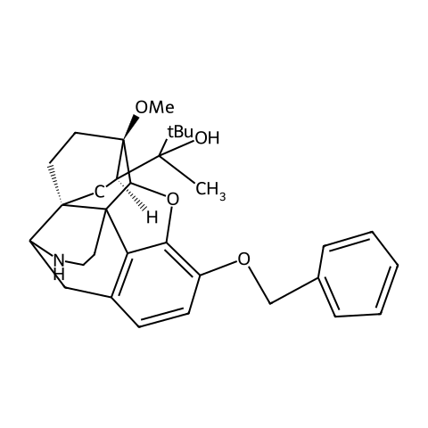 CO[C@]12CC[C@@]3(C[C@@H]1C(C)(O)C(C)(C)C)C1Cc4ccc(OCc5ccccc5)c5c4C3(CCN1)C2O5